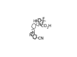 CC1(CN(C(=O)O)c2[nH]ccc2C(C)(F)F)CCCC(C)(Cn2cnc3ccc(C#N)cc32)C1